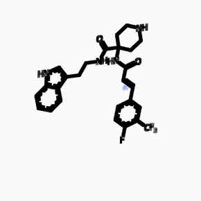 O=C(/C=C/c1ccc(F)c(C(F)(F)F)c1)NC1(C(=O)NCCc2c[nH]c3ccccc23)CCNCC1